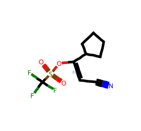 N#C/C=C(/OS(=O)(=O)C(F)(F)F)C1CCCC1